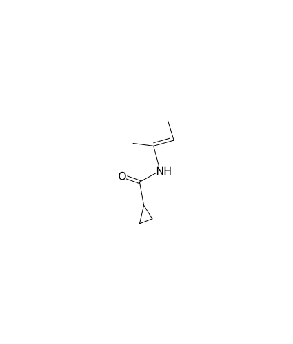 C/C=C(\C)NC(=O)C1CC1